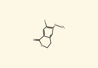 COc1cc2c(cc1F)C(=O)OCC2